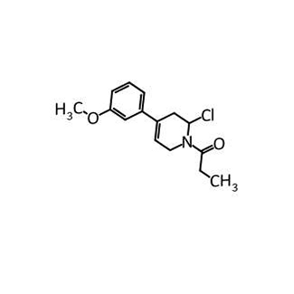 CCC(=O)N1CC=C(c2cccc(OC)c2)CC1Cl